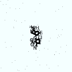 N#Cc1cccc(Oc2c(Cl)c(F)cc3c2cnn3PI)c1[N+](=O)[O-]